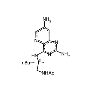 CCCC[C@](C)(CNC(C)=O)Nc1nc(N)nc2cc(N)cnc12